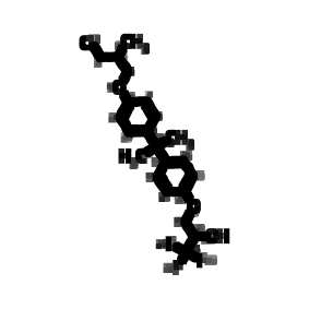 CC(CCl)COc1ccc(C(C)(C)c2ccc(OCC(O)C(F)(F)F)cc2)cc1